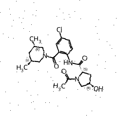 CC(=O)N1C[C@H](O)C[C@H]1C(=O)Nc1ccc(Cl)cc1C(=O)N1C[C@H](C)C[C@H](C)C1